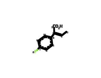 C/C=C(\C(=O)O)c1ccc(F)cc1